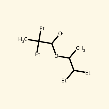 CCC(CC)C(C)OC([O])C(C)(CC)CC